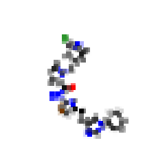 O=C(Nc1nc(C=Cc2cn(C3CCCCC3)cn2)cs1)c1cccn1Cc1ccnc(F)c1